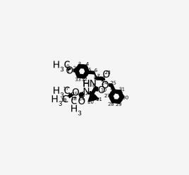 COc1ccc(C[C@H](NC(=O)C2(NC(=O)OC(C)(C)C)CC2)C(=O)OCc2ccccc2)cc1